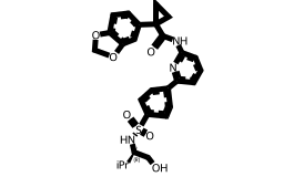 CC(C)[C@H](CO)NS(=O)(=O)c1ccc(-c2cccc(NC(=O)C3(c4ccc5c(c4)OCO5)CC3)n2)cc1